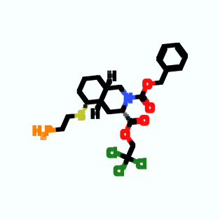 O=C(OCC(Cl)(Cl)Cl)[C@@H]1C[C@H]2[C@H](CCC[C@H]2SCCP)CN1C(=O)OCc1ccccc1